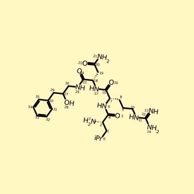 CC(C)C[C@H](N)C(=O)N[C@@H](CCCNC(=N)N)C(=O)N[C@@H](CC(N)=O)C(=O)NCC(O)Cc1ccccc1